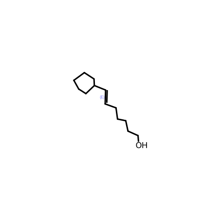 OCCCCC/C=C/C1CCCCC1